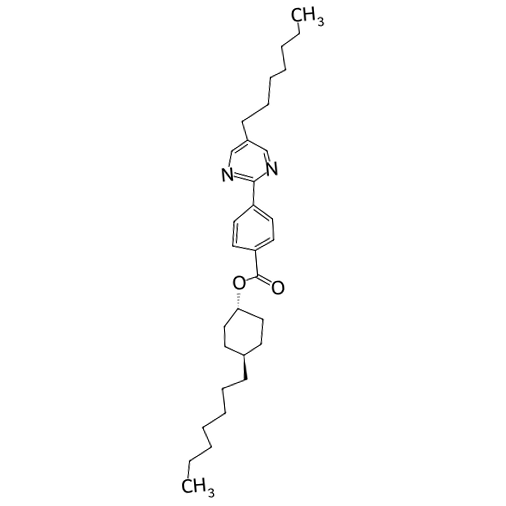 CCCCCCCc1cnc(-c2ccc(C(=O)O[C@H]3CC[C@H](CCCCCCC)CC3)cc2)nc1